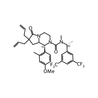 C=CCC1(CC=C)CC2[C@H](c3ccc(OC)cc3C)N(C(=O)N(C)[C@H](C)c3cc(C(F)(F)F)cc(C(F)(F)F)c3)CCN2C1=O